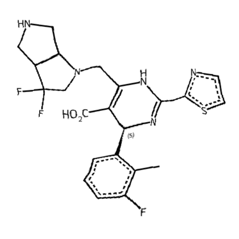 Cc1c(F)cccc1[C@@H]1N=C(c2nccs2)NC(CN2CC(F)(F)C3CNCC32)=C1C(=O)O